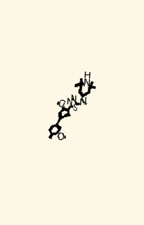 C=C1C=CC(c2ccc(-c3nnc(N(C)C4CC(C)(C)NC(C)(C)C4)s3)c(OC)c2)=CC1OC